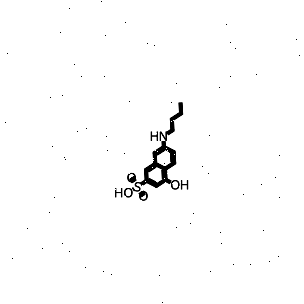 CCCCNc1ccc2c(O)cc(S(=O)(=O)O)cc2c1